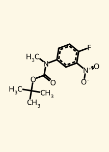 CN(C(=O)OC(C)(C)C)c1ccc(F)c([N+](=O)[O-])c1